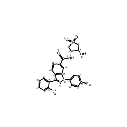 O=C(N[C@@H]1CS(=O)(=O)C[C@H]1O)c1ccc2c(-c3ccccc3Cl)nn(-c3ccc(F)cc3)c2c1